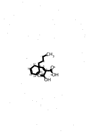 CCCCC1(C=C(C(=O)O)C(=O)O)C=CC=CC1